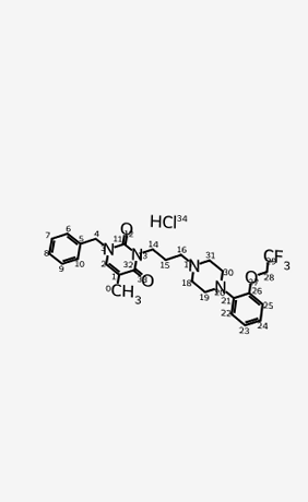 Cc1cn(Cc2ccccc2)c(=O)n(CCCN2CCN(c3ccccc3OCC(F)(F)F)CC2)c1=O.Cl